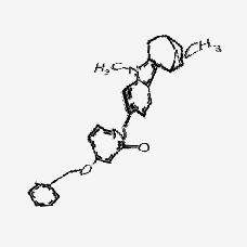 CN1C2CCC1c1c(n(C)c3cc(-n4ccc(OCc5ccccc5)cc4=O)ccc13)C2